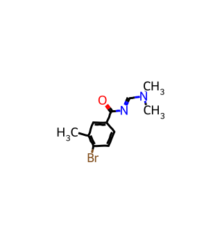 Cc1cc(C(=O)N=CN(C)C)ccc1Br